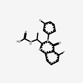 CC(NC(=O)O)c1nc2cccc(F)c2c(=O)n1-c1cccc(F)c1